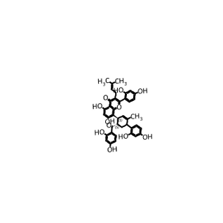 CC(C)=CCc1c(-c2ccc(O)cc2O)oc2c([C@H]3C=C(C)C(c4ccc(O)cc4O)C[C@@H]3C(=O)c3ccc(O)cc3O)c(O)cc(O)c2c1=O